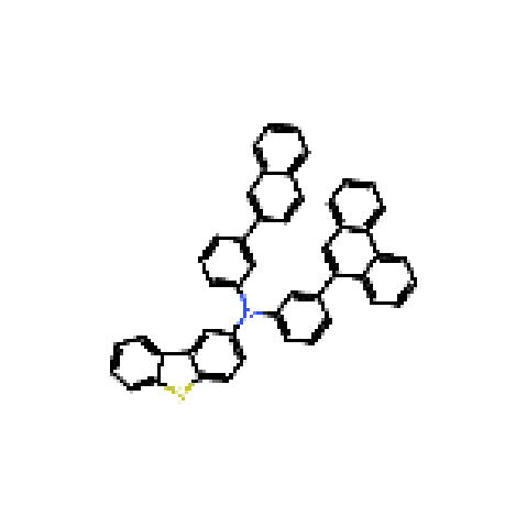 c1cc(-c2ccc3ccccc3c2)cc(N(c2cccc(-c3cc4ccccc4c4ccccc34)c2)c2ccc3sc4ccccc4c3c2)c1